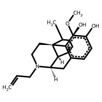 C=CCN1CC[C@@]23c4c(ccc(O)c4OC)C[C@@H]1[C@@H]2C=C[C@H](O)C3C